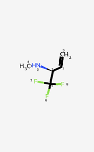 C=C[C@H](NC)C(F)(F)F